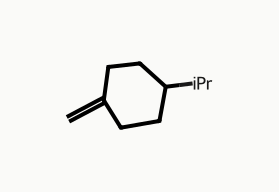 C=C1CCC(C(C)C)CC1